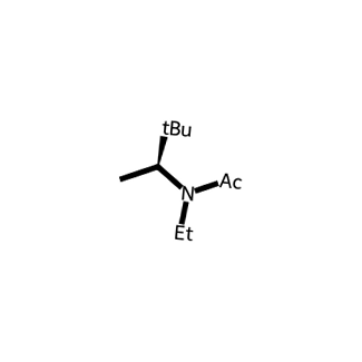 CCN(C(C)=O)[C@@H](C)C(C)(C)C